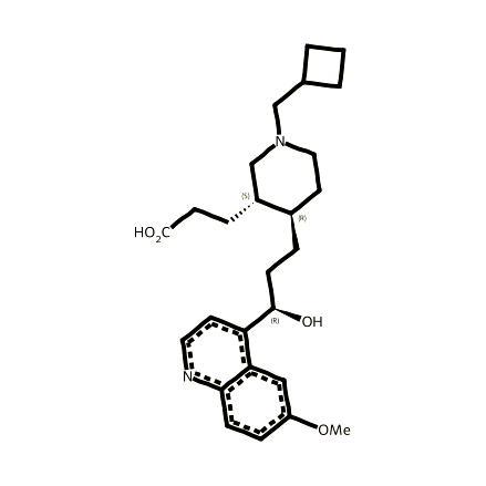 COc1ccc2nccc([C@H](O)CC[C@@H]3CCN(CC4CCC4)C[C@H]3CCC(=O)O)c2c1